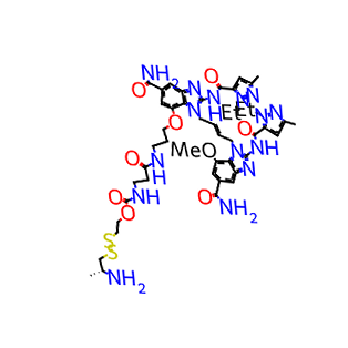 CCn1nc(C)cc1C(=O)Nc1nc2cc(C(N)=O)cc(OC)c2n1C/C=C/Cn1c(NC(=O)c2cc(C)nn2CC)nc2cc(C(N)=O)cc(OCCCNC(=O)CCNC(=O)OCCSSC[C@@H](C)N)c21